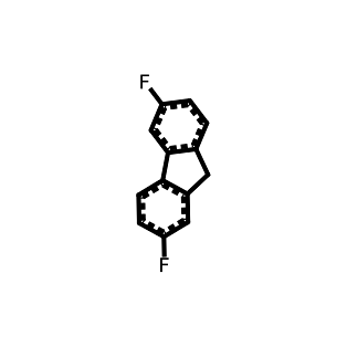 Fc1ccc2c(c1)Cc1ccc(F)cc1-2